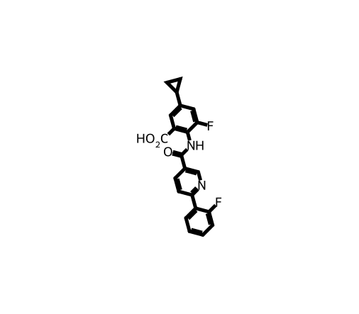 O=C(Nc1c(F)cc(C2CC2)cc1C(=O)O)c1ccc(-c2ccccc2F)nc1